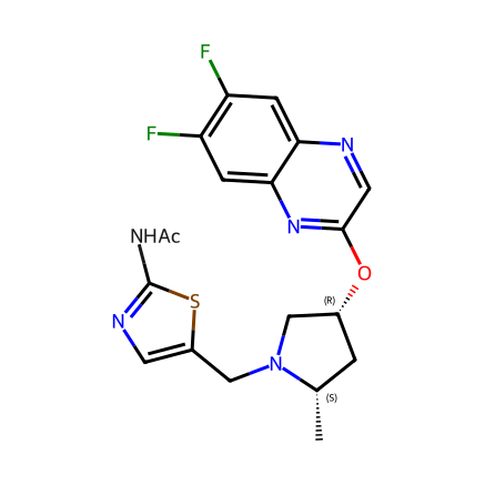 CC(=O)Nc1ncc(CN2C[C@H](Oc3cnc4cc(F)c(F)cc4n3)C[C@@H]2C)s1